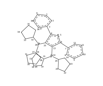 c1ccc(-c2sc(-c3ccccc3)c(P(C3CCCC3)C3CCCC3)c2P(C2CCCC2)C2CCCC2)cc1